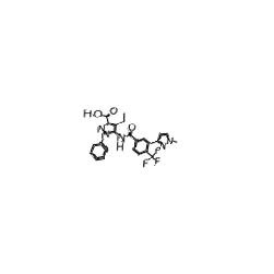 CCc1c(C(=O)O)nn(-c2ccccc2)c1NC(=O)c1ccc(C(F)(F)F)c(-c2ccn(C)n2)c1